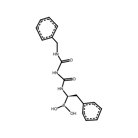 O=C(NCc1ccccc1)NC(=O)N[C@@H](Cc1ccccc1)B(O)O